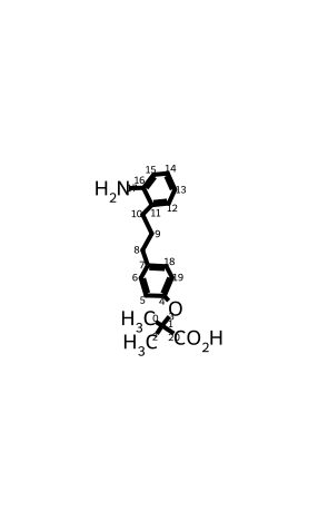 CC(C)(Oc1ccc(CCCc2ccccc2N)cc1)C(=O)O